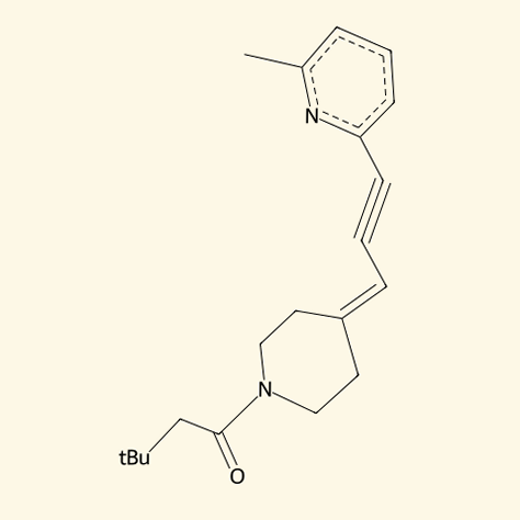 Cc1cccc(C#CC=C2CCN(C(=O)CC(C)(C)C)CC2)n1